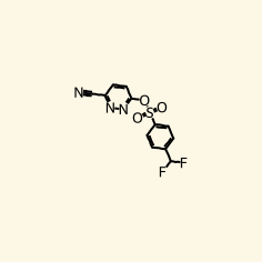 N#Cc1ccc(OS(=O)(=O)c2ccc(C(F)F)cc2)nn1